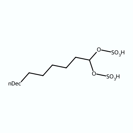 CCCCCCCCCCCCCCCC(OS(=O)(=O)O)OS(=O)(=O)O